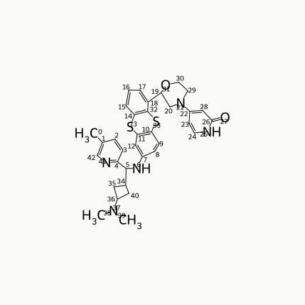 Cc1ccc(C(Nc2ccc3c(c2)Sc2cccc(C4CN(c5cc[nH]c(=O)c5)CCO4)c2S3)C2CC(N(C)C)C2)nc1